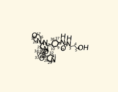 O=C(NCCCO)Nc1ccc(-c2nc(N3CCOCC3)cc(C3(S(=O)(=O)c4ccncc4)CC3)n2)cc1